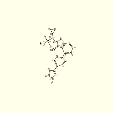 Cn1cc(-c2ccc(-c3nccc4c3C(=O)N([C@H](C3CC3)C(C)(C)O)C4)cc2)cn1